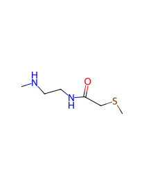 CNCCNC(=O)CSC